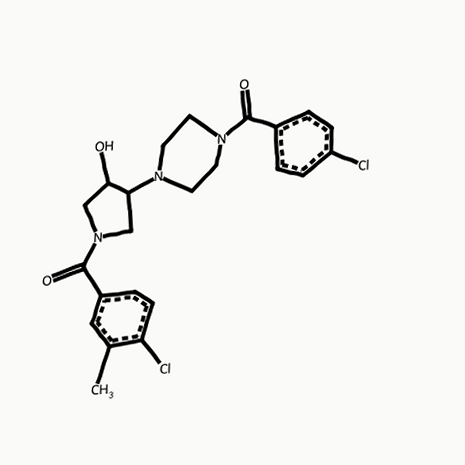 Cc1cc(C(=O)N2CC(O)C(N3CCN(C(=O)c4ccc(Cl)cc4)CC3)C2)ccc1Cl